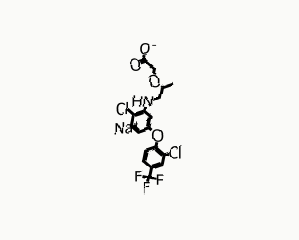 CC(CNc1cc(Oc2ccc(C(F)(F)F)cc2Cl)ccc1Cl)OCC(=O)[O-].[Na+]